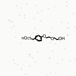 CCCCCCCCCc1ccc(OCCOCCO)cc1